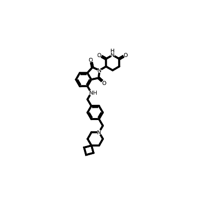 O=C1CCC(N2C(=O)c3cccc(NCc4ccc(CN5CCC6(CCC6)CC5)cc4)c3C2=O)C(=O)N1